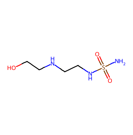 NS(=O)(=O)NCCNCCO